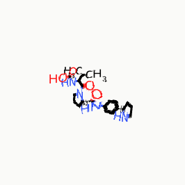 CC(C)C(NC(=O)O)C(=O)N1CCC[C@H]1C(=O)Nc1ccc([C@@H]2CCCN2)cc1